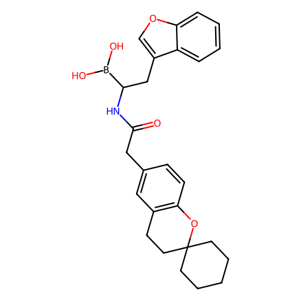 O=C(Cc1ccc2c(c1)CCC1(CCCCC1)O2)NC(Cc1coc2ccccc12)B(O)O